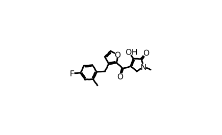 Cc1cc(F)ccc1Cc1ccoc1C(=O)C1=C(O)C(=O)N(C)C1